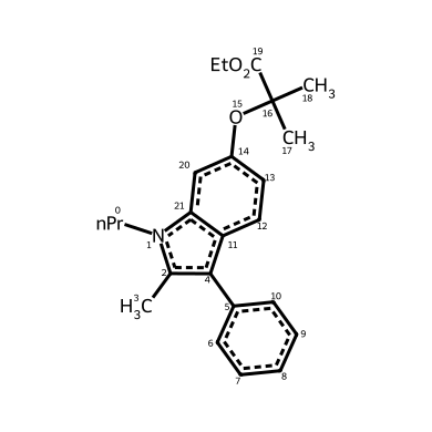 CCCn1c(C)c(-c2ccccc2)c2ccc(OC(C)(C)C(=O)OCC)cc21